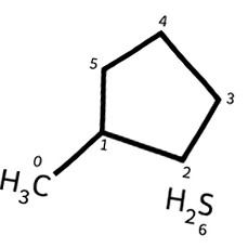 CC1CCCC1.S